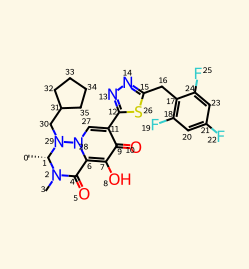 C[C@H]1N(C)C(=O)c2c(O)c(=O)c(-c3nnc(Cc4c(F)cc(F)cc4F)s3)cn2N1CC1CCCC1